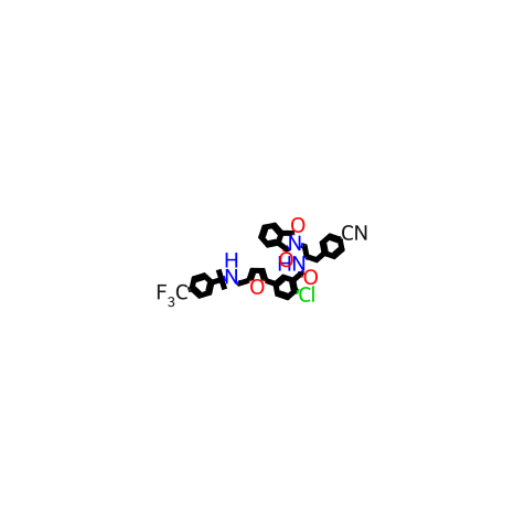 CC(C)(NCc1ccc(-c2ccc(Cl)c(C(=O)NC(Cc3ccc(C#N)cc3)CN3C(=O)c4ccccc4C3=O)c2)o1)c1ccc(C(F)(F)F)cc1